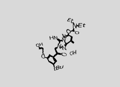 CCN(CC)C(=O)Oc1cc(C)c2nn(CC(=O)c3cc(OCCO)cc(C(C)(C)C)c3)c(=N)n2n1.Cl